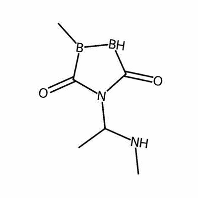 CNC(C)N1C(=O)BB(C)C1=O